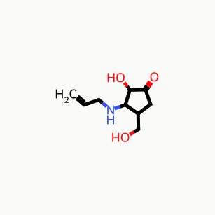 C=CCNC1C(CO)CC(=O)C1O